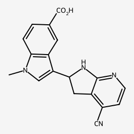 Cn1cc(C2Cc3c(C#N)ccnc3N2)c2cc(C(=O)O)ccc21